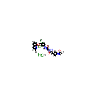 CCC(=O)N(C)c1ccc(C=CC(=O)NCC(=O)N(C)c2ccc(Cl)c(COc3cccc4ccc(C)nc34)c2Cl)cc1.Cl